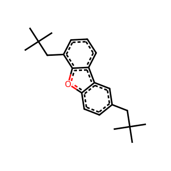 CC(C)(C)Cc1ccc2oc3c(CC(C)(C)C)cccc3c2c1